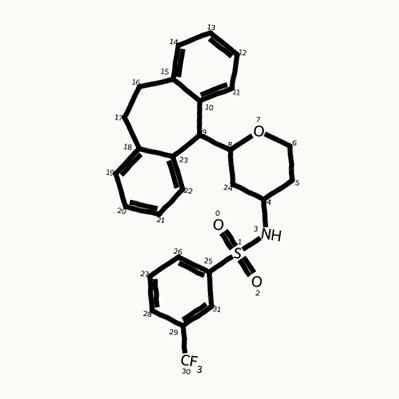 O=S(=O)(NC1CCOC(C2c3ccccc3CCc3ccccc32)C1)c1cccc(C(F)(F)F)c1